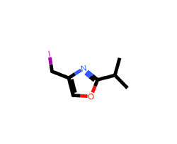 CC(C)c1nc(CI)co1